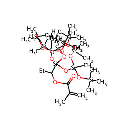 C=C(C)C(=O)OC(CC)[Si](O[Si](C)(O[Si](C)(C)C)O[Si](C)(C)C)(O[Si](C)(O[Si](C)(C)C)O[Si](C)(C)C)O[Si](C)(O[Si](C)(C)C)O[Si](C)(C)C